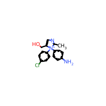 CC1=NC=C(CO)[N+]1(c1ccc(N)cc1)c1ccc(Cl)cc1